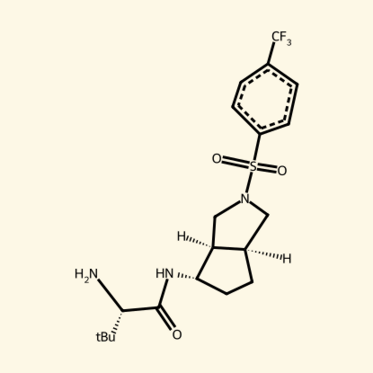 CC(C)(C)[C@H](N)C(=O)N[C@H]1CC[C@@H]2CN(S(=O)(=O)c3ccc(C(F)(F)F)cc3)C[C@@H]21